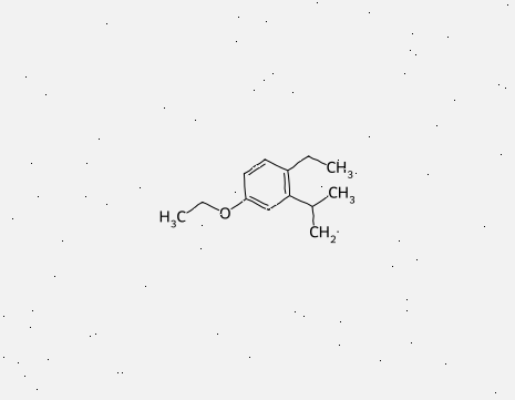 [CH2]C(C)c1cc(OCC)ccc1CC